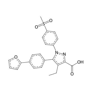 CCc1c(C(=O)O)nn(-c2ccc(S(C)(=O)=O)cc2)c1-c1ccc(-c2ccco2)cc1